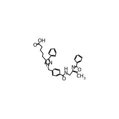 Cc1oc(-c2ccccc2)nc1CNC(=O)c1ccc(Cn2cc(CCCCC(=O)O)c(-c3ccccc3)n2)cc1